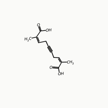 CC(=CCC#CCC=C(C)C(=O)O)C(=O)O